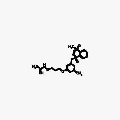 CC1C=C(OCCCONC(=N)N)C=C(CS(=O)(=O)c2ccccc2S(C)(=O)=O)C1